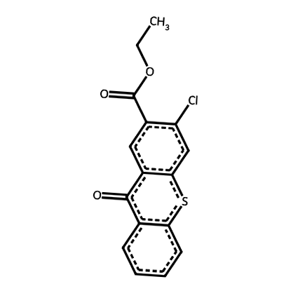 CCOC(=O)c1cc2c(=O)c3ccccc3sc2cc1Cl